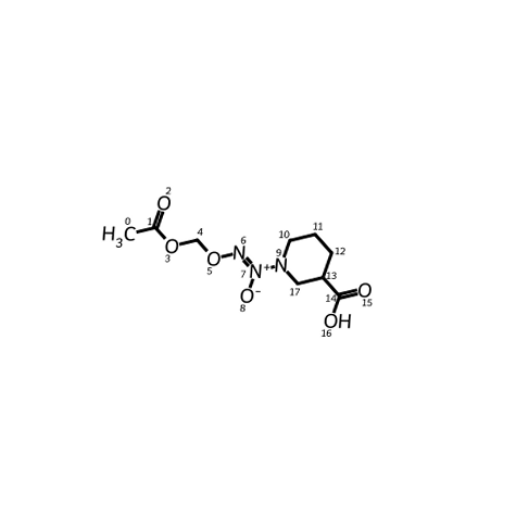 CC(=O)OCO/N=[N+](\[O-])N1CCCC(C(=O)O)C1